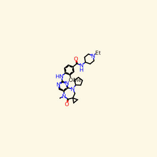 CCN1CCC(NC(=O)c2ccc(Nc3ncc4c(n3)N(C3CCCC3)CC3(CC3)C(=O)N4C)c(OC)c2)CC1